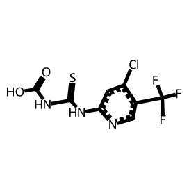 O=C(O)NC(=S)Nc1cc(Cl)c(C(F)(F)F)cn1